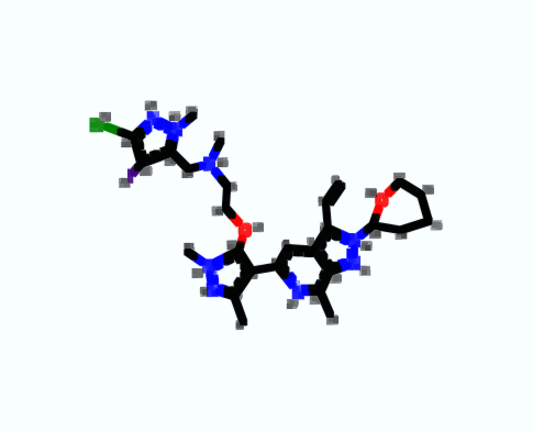 C=Cc1c2cc(-c3c(C)nn(C)c3OCCN(C)Cc3c(I)c(Br)nn3C)nc(C)c2nn1C1CCCCO1